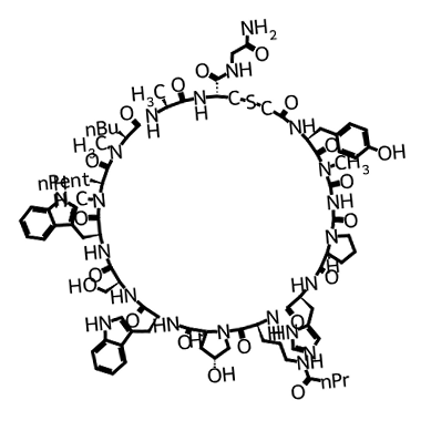 CCCCC[C@H]1C(=O)N(C)[C@@H](CCCC)C(=O)N[C@@H](C)C(=O)N[C@H](C(=O)NCC(N)=O)CSCC(=O)N[C@@H](Cc2ccc(O)cc2)C(=O)N(C)C(=O)NC(=O)N2CCC[C@H]2C(=O)N[C@@H](Cc2cnc[nH]2)C(=O)N[C@@H](CCCNC(=O)CCC)C(=O)N2C[C@H](O)C[C@H]2C(=O)N[C@@H](Cc2c[nH]c3ccccc23)C(=O)N[C@@H](CO)C(=O)N[C@@H](Cc2c[nH]c3ccccc23)C(=O)N1C